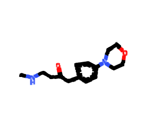 CNCCC(=O)Cc1ccc(N2CCOCC2)cc1